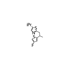 CC(C)c1cnc(CC(C)c2cc(F)cs2)s1